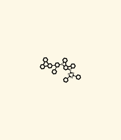 c1ccc(-c2nc(-c3ccccc3)nc(-n3c4ccccc4c4c5c6ccccc6n(-c6ccc(-c7ccc8c9ccccc9c9ccccc9c8c7)c(-c7ccccc7)c6)c5ccc43)n2)cc1